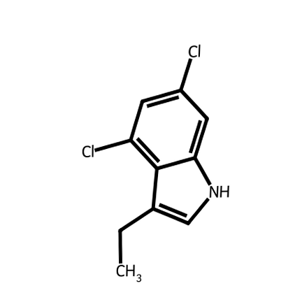 CCc1c[nH]c2cc(Cl)cc(Cl)c12